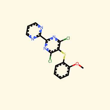 COc1ccccc1Sc1c(Cl)nc(-c2ncccn2)nc1Cl